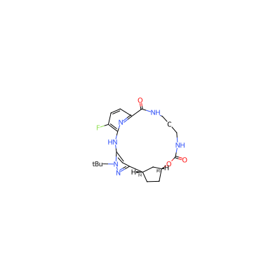 CC(C)(C)n1nc2cc1Nc1nc(ccc1F)C(=O)NCCCNC(=O)O[C@@H]1CC[C@H]2C1